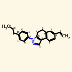 C=Cc1ccc2c(c1)CCc1c-2cnn1-c1ccc(CCC)cc1